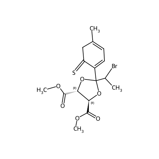 COC(=O)[C@@H]1OC(C2=CC=C(C)CC2=S)(C(C)Br)O[C@H]1C(=O)OC